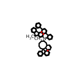 CC1(C)c2ccccc2-c2ccc(N(c3ccccc3-c3ccc(-c4ccccc4)cc3)C3CCCCC(c4ccccc4)(c4ccccc4)C4C=CC=CC4C3)cc21